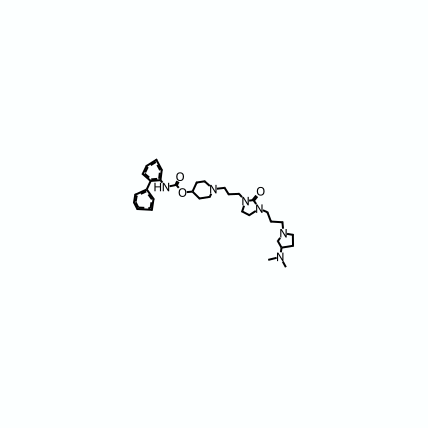 CN(C)C1CCN(CCCN2CCN(CCCN3CCC(OC(=O)Nc4ccccc4-c4ccccc4)CC3)C2=O)C1